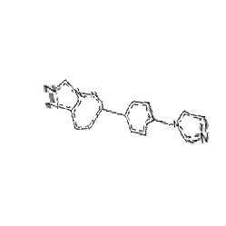 c1cn(-c2ccc(-c3ccc4nncn4n3)cc2)cn1